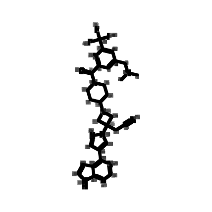 CN(C)Cc1cc(C(=O)N2CCC(N3CC(CC#N)(n4cc(-c5ncnc6[nH]ccc56)cn4)C3)CC2)nc(C(F)(F)F)c1